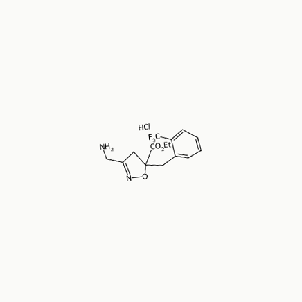 CCOC(=O)C1(Cc2ccccc2C(F)(F)F)CC(CN)=NO1.Cl